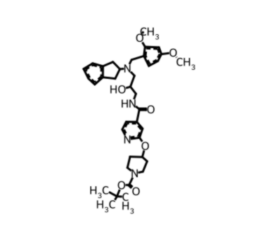 COc1ccc(CN(CC(O)CNC(=O)c2ccnc(OC3CCN(C(=O)OC(C)(C)C)CC3)c2)C2Cc3ccccc3C2)c(OC)c1